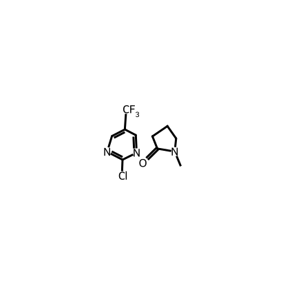 CN1CCCC1=O.FC(F)(F)c1cnc(Cl)nc1